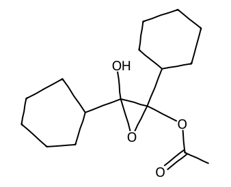 CC(=O)OC1(C2CCCCC2)OC1(O)C1CCCCC1